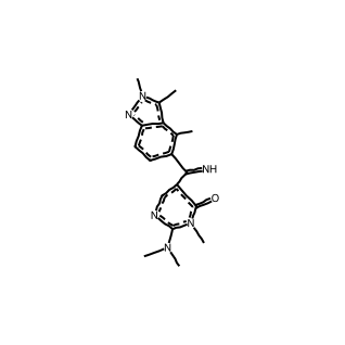 Cc1c(C(=N)c2cnc(N(C)C)n(C)c2=O)ccc2nn(C)c(C)c12